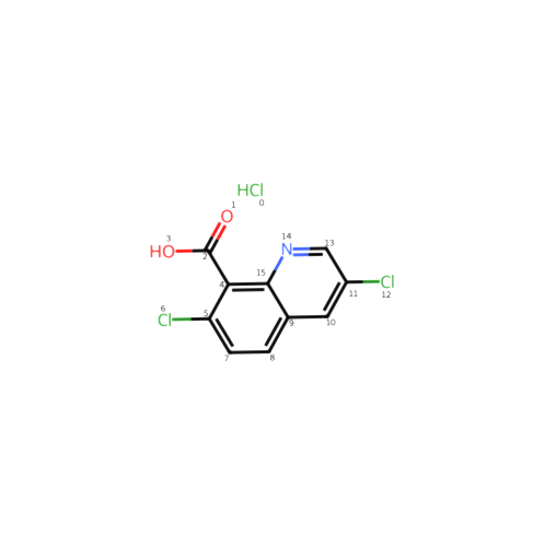 Cl.O=C(O)c1c(Cl)ccc2cc(Cl)cnc12